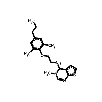 CCCc1cc(C)c(OCCNC2c3ccsc3N=CN2C)c(C)c1